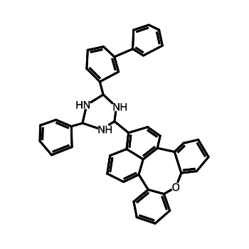 c1ccc(-c2cccc(C3NC(c4ccccc4)NC(c4ccc5c6c(cccc46)-c4ccccc4Oc4ccccc4-5)N3)c2)cc1